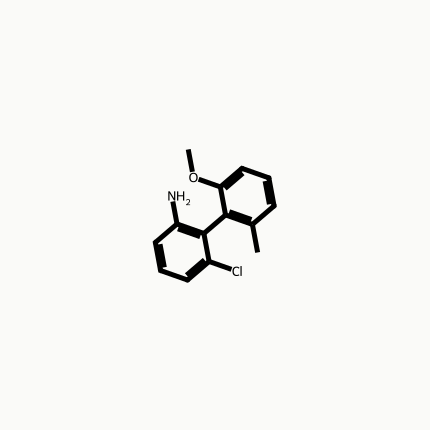 COc1cccc(C)c1-c1c(N)cccc1Cl